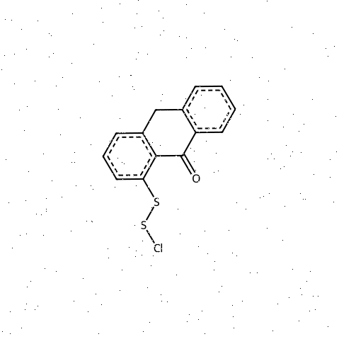 O=C1c2ccccc2Cc2cccc(SSCl)c21